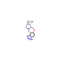 O=C(O)N1CCN2Cc3c(ccc4[nH]cnc34)OCC2C1